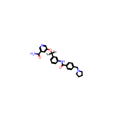 [2H]C([2H])(Oc1cncc(C(N)=O)c1)c1cccc(NC(=O)c2ccc(CN3CCCC3)cc2)c1